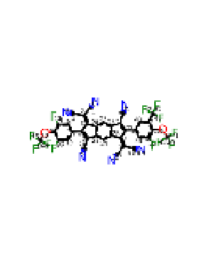 N#CC(C#N)=C1C(c2cc(F)c(OC(F)(F)F)c(F)c2)=C(C#N)c2cc3c(cc21)C(C#N)=C(c1cc(F)c(OC(F)(F)F)c(C(F)(F)F)c1)C3=C(C#N)C#N